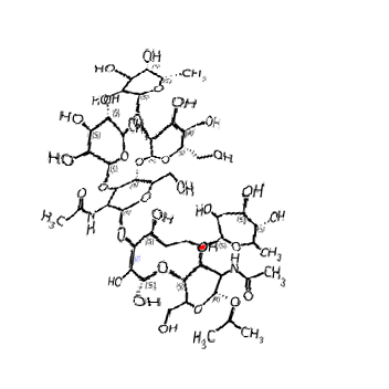 CC(=O)NC1C(O[C@@H]2OC(C)[C@@H](O)[C@H](O)C2O)[C@H](O[C@@H]2O[C@@H](CO)[C@H](O)C(O)C2O[C@@H]2O[C@@H](C)[C@@H](O)C(O)C2O)C(CO)O[C@H]1O/C(=C(\O)[C@@H](O)O[C@@H]1C(CO)O[C@@H](OC(C)C)C(NC(C)=O)C1O[C@@H]1OC(C)[C@@H](O)[C@H](O)C1O)[C@@H](O)CCO